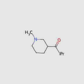 CC(C)C(=O)C1CCCN(C)C1